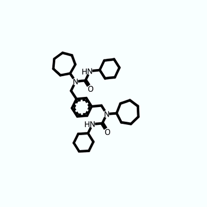 O=C(NC1CCCCC1)N(Cc1cccc(CN(C(=O)NC2CCCCC2)C2CCCCCC2)c1)C1CCCCCC1